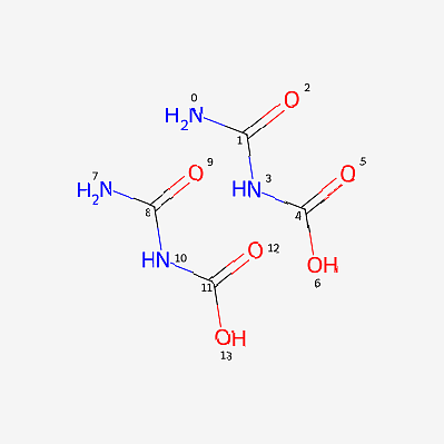 NC(=O)NC(=O)O.NC(=O)NC(=O)O